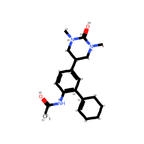 CN1CC(c2ccc(NC(=O)C(F)(F)F)c(C3=CCCCC3)c2)CN(C)C1=O